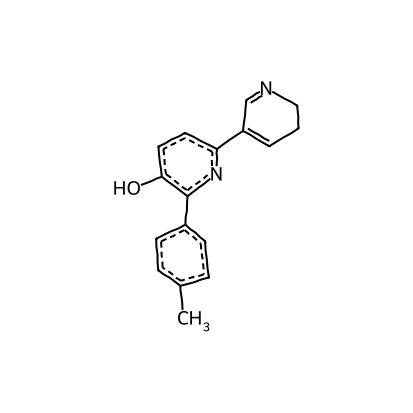 Cc1ccc(-c2nc(C3=CCCN=C3)ccc2O)cc1